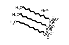 CCCCCCCCCCCCOS(=O)(=O)[O-].CCCCCCCCCCCCOS(=O)(=O)[O-].CCCCCCCCCCCCOS(=O)(=O)[O-].[Yb+3]